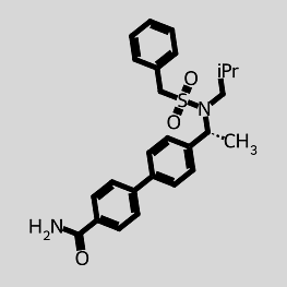 CC(C)CN([C@H](C)c1ccc(-c2ccc(C(N)=O)cc2)cc1)S(=O)(=O)Cc1ccccc1